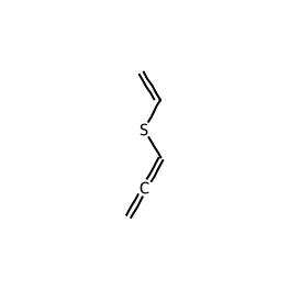 C=C=CSC=C